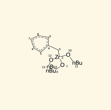 CCCC[O][Zr]([CH2]c1ccccc1)([O]CCCC)[O]CCCC